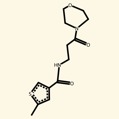 Cc1cc(C(=O)NCCC(=O)N2CCOCC2)cs1